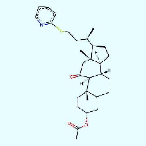 CC(=O)O[C@@H]1CC[C@@]2(C)C(CC[C@H]3[C@@H]4CC[C@H]([C@H](C)CCSc5ccccn5)[C@@]4(C)CC(=O)[C@@H]32)C1